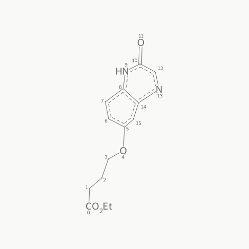 CCOC(=O)CCCOc1ccc2[nH]c(=O)cnc2c1